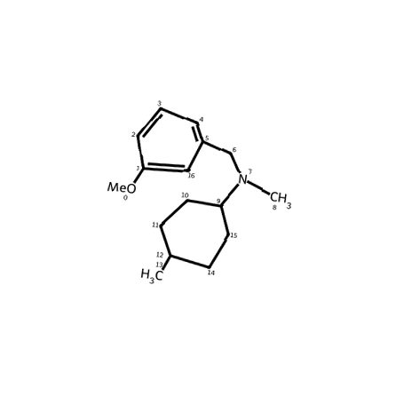 COc1cccc(CN(C)C2CCC(C)CC2)c1